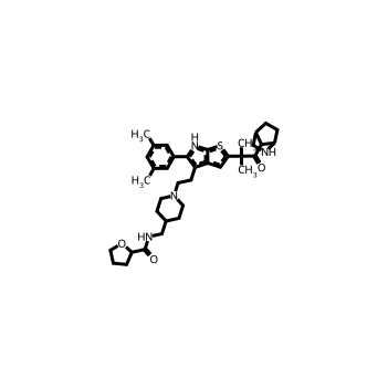 Cc1cc(C)cc(-c2[nH]c3sc(C(C)(C)C(=O)C4C5CCC4NC5)cc3c2CCN2CCC(CNC(=O)C3CCCO3)CC2)c1